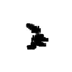 CC(C)(C)OC(=O)CC[C@H](NC(=O)N[C@@H](CCCCNC(=S)Nc1ccc(F)cc1)C(=O)OC(C)(C)C)C(=O)OC(C)(C)C